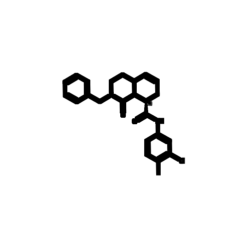 Cc1ccc(NC(=O)[C@H]2CC=CC3CCN(Cc4ccccc4)C(=O)C32)cc1Cl